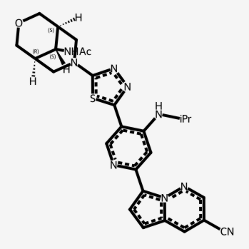 CC(=O)N[C@@H]1[C@@H]2COC[C@H]1CN(c1nnc(-c3cnc(-c4ccc5cc(C#N)cnn45)cc3NC(C)C)s1)C2